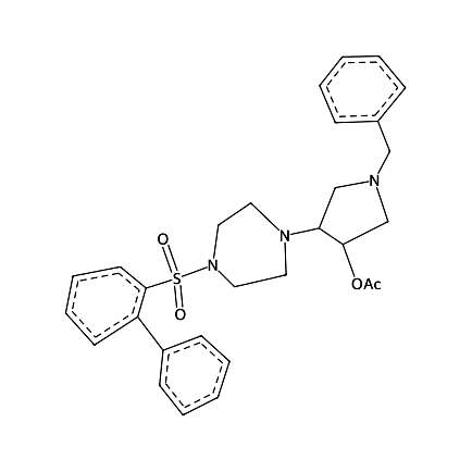 CC(=O)OC1CN(Cc2ccccc2)CC1N1CCN(S(=O)(=O)c2ccccc2-c2ccccc2)CC1